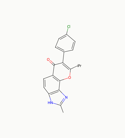 Cc1nc2c(ccc3c(=O)c(-c4ccc(Cl)cc4)c(C(C)C)oc32)[nH]1